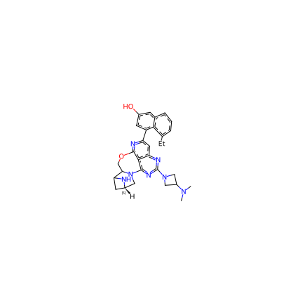 CCc1cccc2cc(O)cc(-c3cc4nc(N5CC(N(C)C)C5)nc5c4c(n3)OCC3C4C[C@@H](CN53)N4)c12